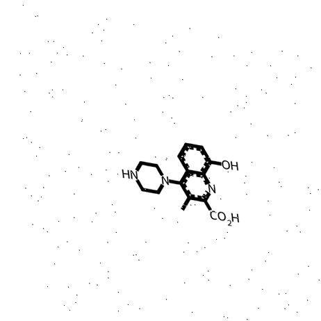 Cc1c(C(=O)O)nc2c(O)cccc2c1N1CCNCC1